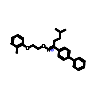 Cc1[c]cccc1OCCO/N=C(\CCC(C)C)c1ccc(-c2ccccc2)cc1